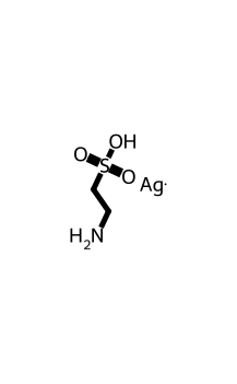 NCCS(=O)(=O)O.[Ag]